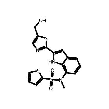 CN(c1cccc2cc(-c3ncc(CO)s3)[nH]c12)S(=O)(=O)c1cccs1